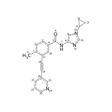 Cc1ccc(C(=O)Nc2cn(C3CC3)cn2)cc1C#Cc1cccnc1